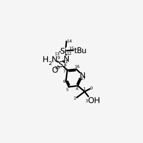 CC(C)(O)c1ccc(S(N)(=O)=N[Si](C)(C)C(C)(C)C)cn1